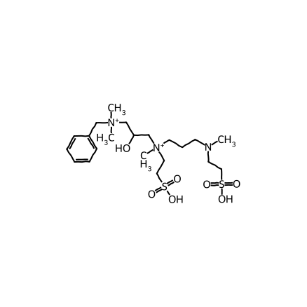 CN(CCC[N+](C)(CCS(=O)(=O)O)CC(O)C[N+](C)(C)Cc1ccccc1)CCS(=O)(=O)O